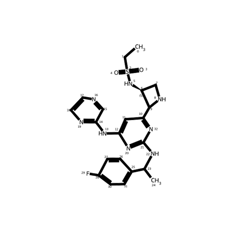 CCS(=O)(=O)N[C@H]1CNC1c1cc(Nc2cnccn2)nc(NC(C)c2ccc(F)cc2)n1